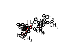 Cc1ccccc1-c1ccc2c(c1)c1cc(-c3ccccc3C)ccc1n2-c1ccc(-c2cccc(C#N)c2)c(-n2c3ccc(-c4ccccc4C)cc3c3cc(-c4cc(-c5ccc(-c6ccc7c8ccc(-c9ccccc9C)cc8n(-c8ccc(-c9cccc(C#N)c9)c(-n9c%10cc(-c%11ccccc%11C)ccc%10c%10ccc(-c%11ccccc%11C)cc%109)c8C#N)c7c6)c(C)c5)ccc4C)ccc32)c1C#N